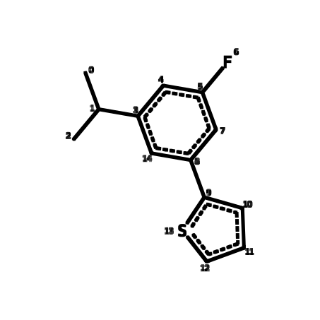 CC(C)c1cc(F)cc(-c2cccs2)c1